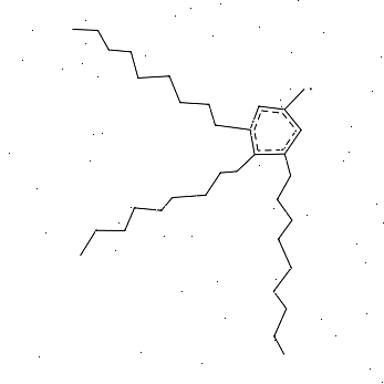 [CH2]c1cc(CCCCCCCCC)c(CCCCCCCCC)c(CCCCCCCCC)c1